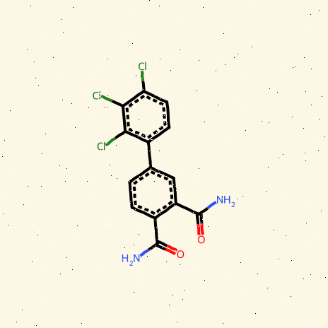 NC(=O)c1ccc(-c2ccc(Cl)c(Cl)c2Cl)cc1C(N)=O